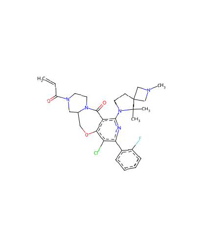 C=CC(=O)N1CCN2C(=O)c3c(N4CCC5(CN(C)C5)C4(C)C)nc(-c4ccccc4F)c(Cl)c3OCC2C1